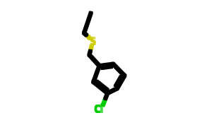 CCSCc1cccc(Cl)c1